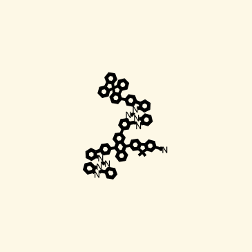 CC1(C)c2cc(C#N)ccc2-c2ccc(-c3c4ccccc4c(-c4ccc5c6ccccc6n(-c6nc7ccccc7c7nc8ccccc8n67)c5c4)c4ccc(-c5ccc6nc(-n7c8ccccc8c8ccc(-c9cccc%10c9-c9ccccc9C%109c%10ccccc%10-c%10ccccc%109)cc87)n7c8ccccc8nc7c6c5)cc34)cc21